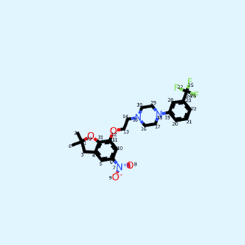 CC1(C)Cc2cc([N+](=O)[O-])cc(OCCN3CCN(c4cccc(C(F)(F)F)c4)CC3)c2O1